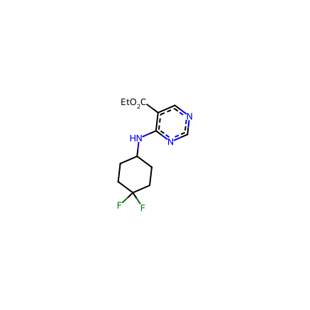 CCOC(=O)c1cncnc1NC1CCC(F)(F)CC1